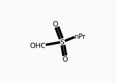 CCCS(=O)(=O)C=O